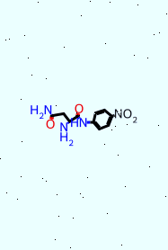 NC(=O)C[C@H](N)C(=O)Nc1ccc([N+](=O)[O-])cc1